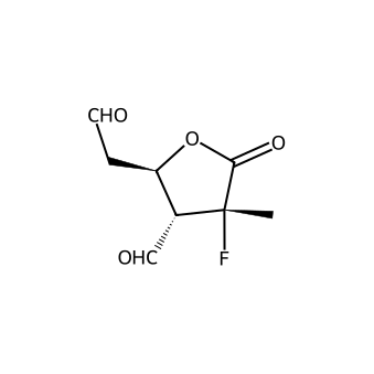 C[C@]1(F)C(=O)O[C@H](CC=O)[C@H]1C=O